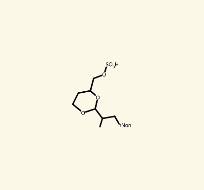 CCCCCCCCCCC(C)C1OCCC(COS(=O)(=O)O)O1